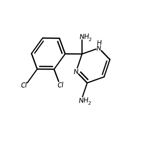 NC1=NC(N)(c2cccc(Cl)c2Cl)NC=C1